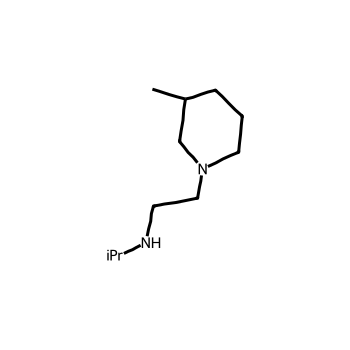 CC1CCCN(CCNC(C)C)C1